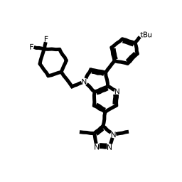 Cc1nnn(C)c1-c1cnc2c(-c3ccc(C(C)(C)C)cc3)cn(CC3CCC(F)(F)CC3)c2c1